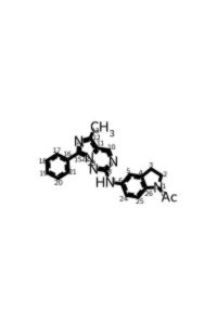 CC(=O)N1CCc2cc(Nc3ncc4c(C)nc(-c5ccccc5)n4n3)ccc21